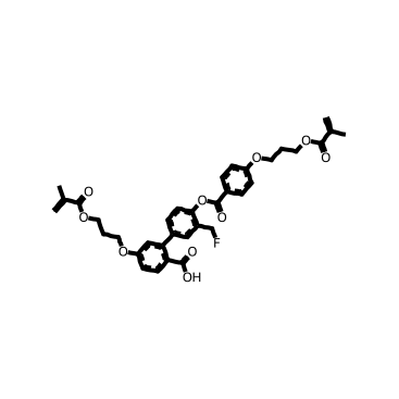 C=C(C)C(=O)OCCCOc1ccc(C(=O)Oc2ccc(-c3cc(OCCCOC(=O)C(=C)C)ccc3C(=O)O)cc2CF)cc1